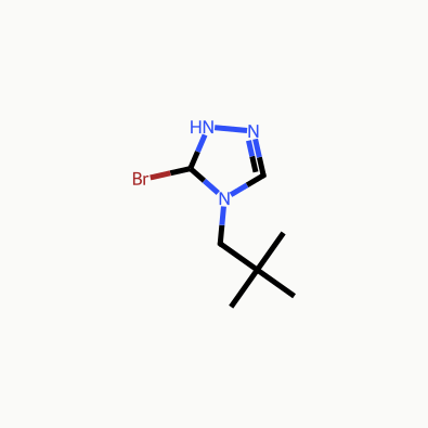 CC(C)(C)CN1C=NNC1Br